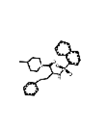 CC1CCN(C(=O)C(CCc2ccccc2)NS(=O)(=O)c2cccc3ccccc23)CC1